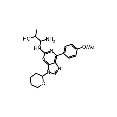 COc1ccc(-c2nc(NC(N)C(C)O)nc3c2ncn3C2CCCCO2)cc1